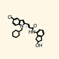 O=C(/C=C/c1cc2cc(Cl)ccc2n1CC1CCCCC1)Nc1cccc2c1CC(O)C2